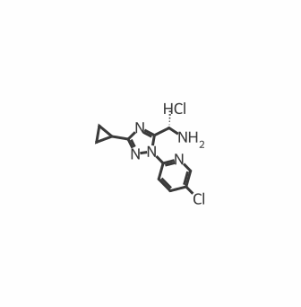 C[C@H](N)c1nc(C2CC2)nn1-c1ccc(Cl)cn1.Cl